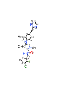 CC(=O)c1cn(C(C=O)CN(CC(=O)NCc2cccc(Cl)c2F)C(C)C)c2ccc(C#Cc3ncccn3)cc12